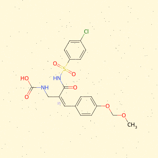 COCOc1ccc(/C=C(/CNC(=O)O)C(=O)NS(=O)(=O)c2ccc(Cl)cc2)cc1